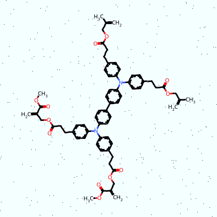 C=C(C)COC(=O)CCc1ccc(N(c2ccc(CCC(=O)OCC(=C)C)cc2)c2ccc(-c3ccc(N(c4ccc(CCC(=O)OCC(=C)C(=O)OC)cc4)c4ccc(CCC(=O)OCC(=C)C(=O)OC)cc4)cc3)cc2)cc1